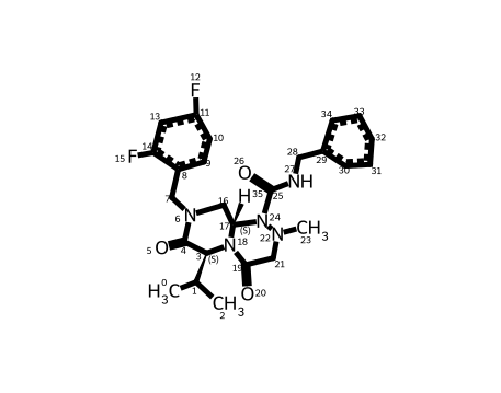 CC(C)[C@H]1C(=O)N(Cc2ccc(F)cc2F)C[C@H]2N1C(=O)CN(C)N2C(=O)NCc1ccccc1